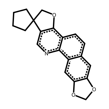 c1nc2c(ccc3cc4c(cc32)OCO4)c2c1C1(CCCC1)CO2